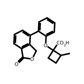 CC1CCC1(Oc1ccccc1-c1cccc2c1COC2=O)C(=O)O